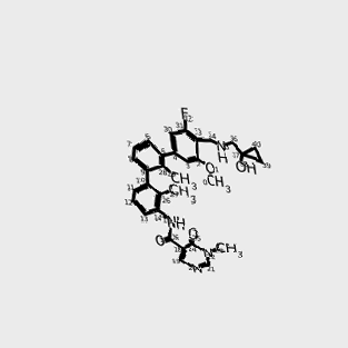 COc1cc(-c2cccc(-c3cccc(NC(=O)c4cncn(C)c4=O)c3C)c2C)cc(F)c1CNCC1(O)CC1